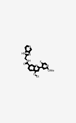 CCOc1cc(-c2cc(OC)ncc2F)nc2cc(C(=O)NCc3nc4cnccc4[nH]3)ccc12